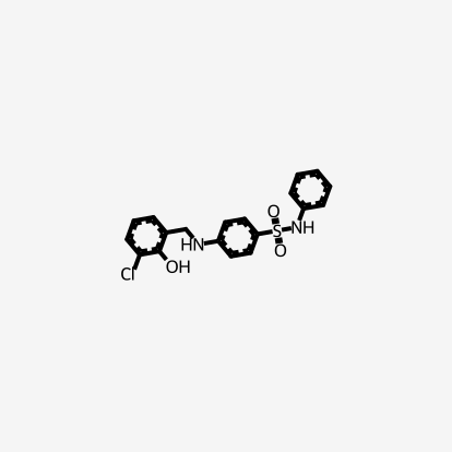 O=S(=O)(Nc1ccccc1)c1ccc(NCc2cccc(Cl)c2O)cc1